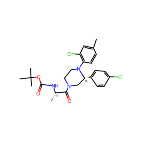 Cc1ccc(N2CCN(C(=O)[C@H](C)NC(=O)OC(C)(C)C)C[C@H]2c2ccc(Cl)cc2)c(Cl)c1